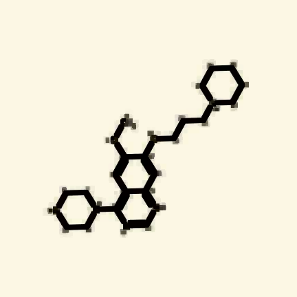 COc1cc2c(N3CC[N]CC3)ncnc2cc1OCCCN1CCCCC1